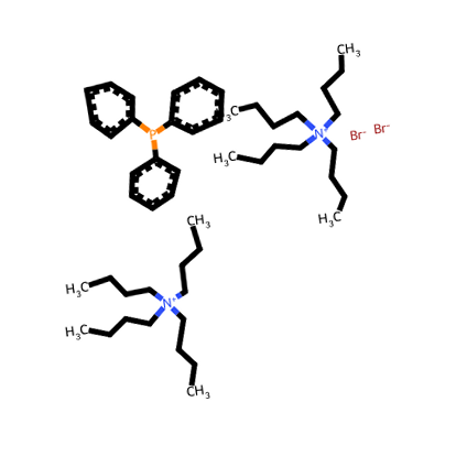 CCCC[N+](CCCC)(CCCC)CCCC.CCCC[N+](CCCC)(CCCC)CCCC.[Br-].[Br-].c1ccc(P(c2ccccc2)c2ccccc2)cc1